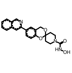 O=C(NO)N1CCC2(CC1)OCc1cc(-c3cc4ccccc4cn3)ccc1O2